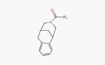 O=C(N1CC2Cc3ccccc3C(C2)C1)C(F)(F)F